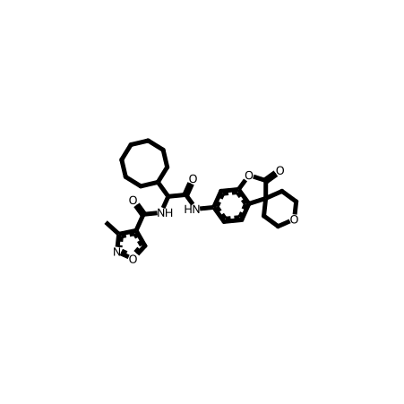 Cc1nocc1C(=O)NC(C(=O)Nc1ccc2c(c1)OC(=O)C21CCOCC1)C1CCCCCCC1